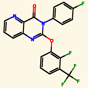 O=c1c2ncccc2nc(Oc2cccc(C(F)(F)F)c2F)n1-c1ccc(F)cc1